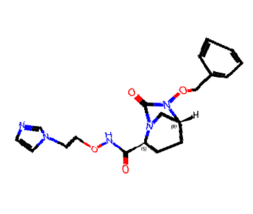 O=C(NOCCn1ccnc1)[C@@H]1CC[C@@H]2CN1C(=O)N2OCc1ccccc1